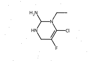 CCN1C(Cl)=C(F)CNC1N